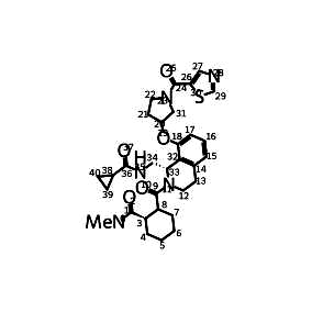 CNC(=O)[C@@H]1CCCCC1C(=O)N1CCc2cccc(OC3CCN(C(=O)c4cncs4)C3)c2[C@H]1CNC(=O)C1CC1